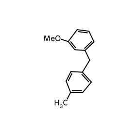 COc1cccc(Cc2ccc(C)cc2)c1